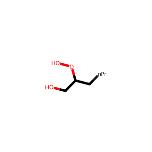 CCCCC(CO)OO